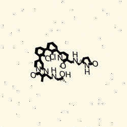 COc1nc(-c2cccc(-c3cccc(-c4ccn5c(=O)c(C)c(CNC[C@@H](C)O)nc5c4)c3Cl)c2Cl)ccc1CNC[C@H]1CCC(=O)N1